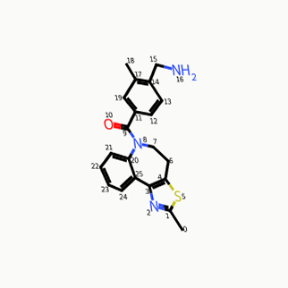 Cc1nc2c(s1)CCN(C(=O)c1ccc(CN)c(C)c1)c1ccccc1-2